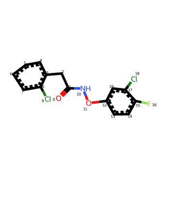 O=C(Cc1ccccc1Cl)NOc1ccc(F)c(Cl)c1